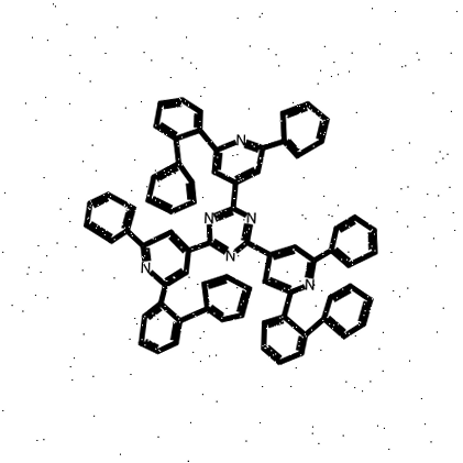 c1ccc(-c2cc(-c3nc(-c4cc(-c5ccccc5)nc(-c5ccccc5-c5ccccc5)c4)nc(-c4cc(-c5ccccc5)nc(-c5ccccc5-c5ccccc5)c4)n3)cc(-c3ccccc3-c3ccccc3)n2)cc1